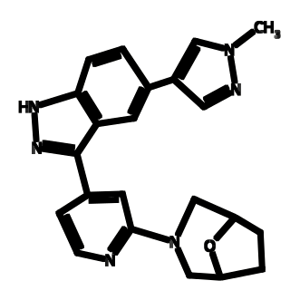 Cn1cc(-c2ccc3[nH]nc(-c4ccnc(N5CC6CCC(C5)O6)c4)c3c2)cn1